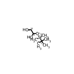 CC(C)(C)[Si](C)(C)OC(O)CO